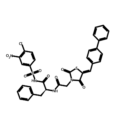 O=C(CN1C(=O)SC(=Cc2ccc(-c3ccccc3)cc2)C1=O)N[C@@H](Cc1ccccc1)C(=O)NS(=O)(=O)c1ccc(Cl)c([N+](=O)[O-])c1